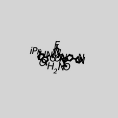 CC1=CC(NC(=O)C2CC(F)CN2C(=O)Cn2nc(C(N)=O)c3cc(-c4ccnnc4)ccc32)c2cc(C(C)C)ccc2O1